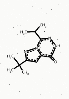 CC(C)c1n[nH]c(=O)c2cc(C(C)(C)C)nn12